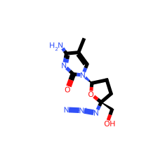 Cc1cn([C@H]2CC[C@](CO)(N=[N+]=[N-])O2)c(=O)nc1N